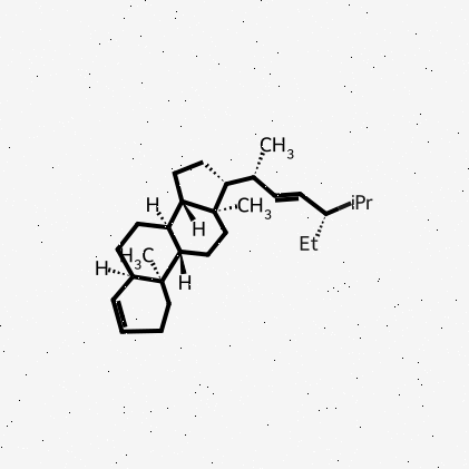 CC[C@H](C=C[C@@H](C)[C@H]1CC[C@H]2[C@@H]3CC[C@@H]4C=CCC[C@]4(C)[C@H]3CC[C@]12C)C(C)C